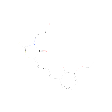 CCOc1cccc(C=CC=C2SC(=S)N(CC(=O)O)C2=O)c1O